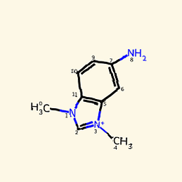 Cn1c[n+](C)c2cc(N)ccc21